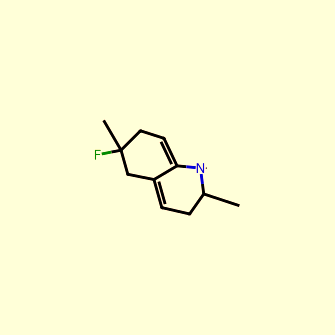 CC1CC=C2CC(C)(F)CC=C2[N]1